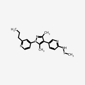 CCCc1cc(-n2nc(C)c(-c3ccc(NSC)nc3)c2C)ccn1